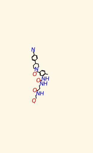 COCCNC(=O)CCNC(=O)Nc1cc(C(=O)N2CCC(c3ccc(C#N)cc3)CC2)ccc1C